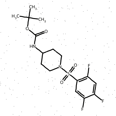 CC(C)(C)OC(=O)NC1CCN(S(=O)(=O)c2cc(F)c(F)cc2F)CC1